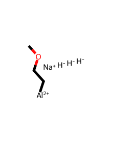 COC[CH2][Al+2].[H-].[H-].[H-].[Na+]